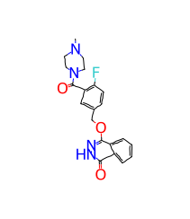 CN1CCN(C(=O)c2cc(COc3n[nH]c(=O)c4ccccc34)ccc2F)CC1